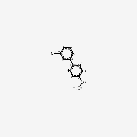 COc1cnc(-c2cccc(Cl)c2)nc1